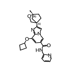 C[C@]12CC[C@](c3cn4cc(C(=O)Nc5ccccn5)cc(OC5CCC5)c4n3)(CO1)C2